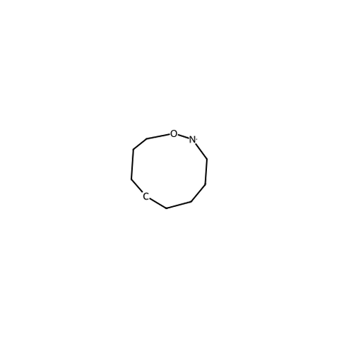 C1CCCCO[N]CCC1